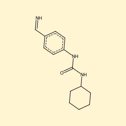 N=Cc1ccc(NC(=O)NC2CCCCC2)cc1